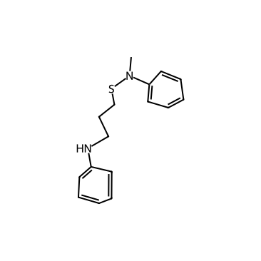 CN(SCCCNc1ccccc1)c1ccccc1